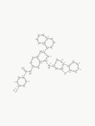 O=C(Nc1ccc2nc(-c3cccc4ccccc34)nc(Nc3ccc4c(c3)Cc3ccccc3-4)c2c1)c1ccc(C(F)(F)F)cc1